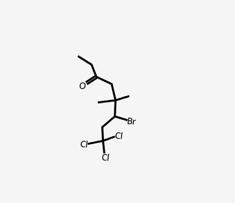 CCC(=O)CC(C)(C)C(Br)CC(Cl)(Cl)Cl